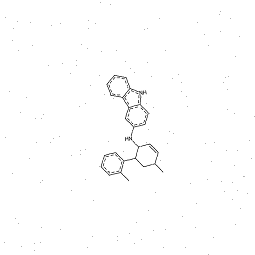 Cc1ccccc1C1CC(C)C=CC1Nc1ccc2[nH]c3ccccc3c2c1